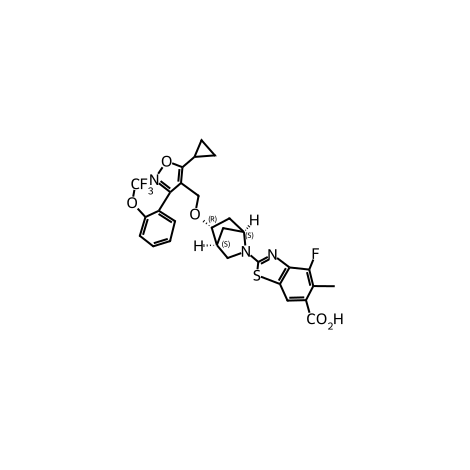 Cc1c(C(=O)O)cc2sc(N3C[C@@H]4C[C@H]3C[C@H]4OCc3c(-c4ccccc4OC(F)(F)F)noc3C3CC3)nc2c1F